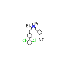 CC#N.CCCN(CCc1ccccc1)C(CC)CCc1ccc(C2C(Cl)CCCC2Cl)cc1